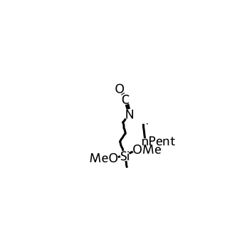 CO[Si](C)(CCCN=C=O)OC.[CH2]CCCCC